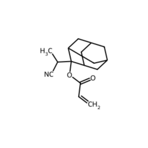 C=CC(=O)OC1(C(C)C#N)C2CC3CC(C2)CC1C3